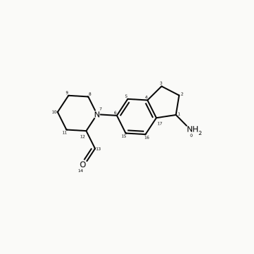 NC1CCc2cc(N3CCCCC3C=O)ccc21